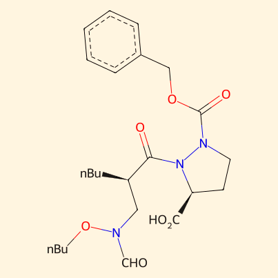 CCCCON(C=O)C[C@@H](CCCC)C(=O)N1[C@H](C(=O)O)CCN1C(=O)OCc1ccccc1